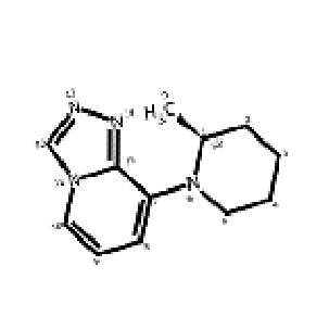 C[C@H]1CCCCN1c1cccn2cnnc12